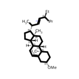 CC[C@H](/C=C/C(C)[C@H]1CC[C@H]2[C@@H]3CC=C4C[C@@H](OC)CC[C@]4(C)[C@H]3CC[C@]12C)C(C)C